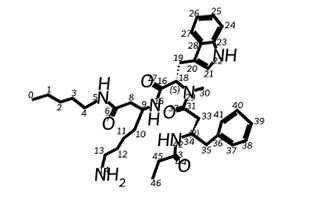 CCCCCNC(=O)CC(CCCCN)NC(=O)[C@H](Cc1c[nH]c2ccccc12)N(C)C(=O)C[C@@H](Cc1ccccc1)NC(=O)CC